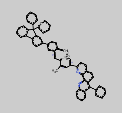 C=C(/C=c1/cc(-c2ccc3c(c2)C(c2ccccc2)(c2ccccc2)c2ccccc2-3)ccc1=C)/C(C)=C\C(=C/C)c1ccc2ccc3c(-c4ccccc4)c4ccccc4nc3c2n1